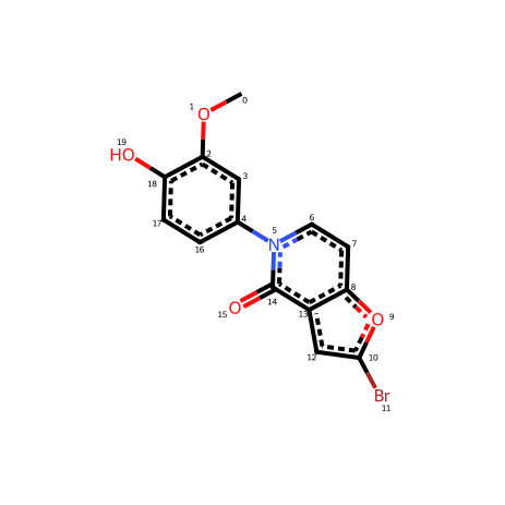 COc1cc(-n2ccc3oc(Br)cc3c2=O)ccc1O